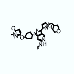 CCNc1cc2c(cn1)c(C1C=CN(CC3CCOCC3)N1)nn2[C@H]1CC[C@@H](Oc2ccc(=O)n(C)n2)CC1